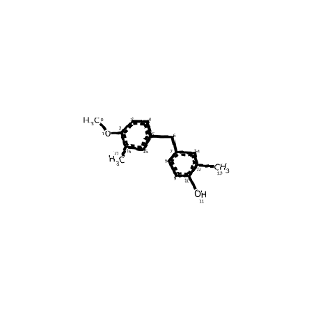 COc1ccc(Cc2ccc(O)c(C)c2)cc1C